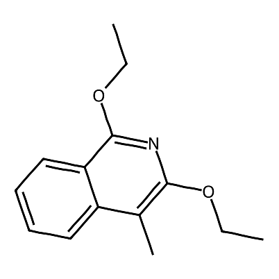 CCOc1nc(OCC)c2ccccc2c1C